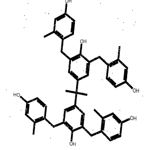 Cc1cc(O)ccc1Cc1cc(C(C)(C)c2cc(Cc3ccc(O)cc3C)c(O)c(Cc3ccc(O)cc3C)c2)cc(Cc2ccc(O)cc2C)c1O